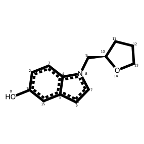 Oc1ccc2c([c]cn2C[C@H]2CCCO2)c1